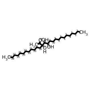 CCCCCCCCCCCCC(O)C(O)C(O)(CCCCCCCCCCCC)C(C)=O